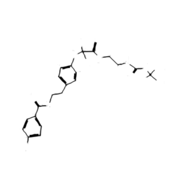 CC(C)(C)OC(=O)NCCOC(=O)C(C)(C)Oc1ccc(CCNC(=O)c2ccc(Cl)cc2)cc1